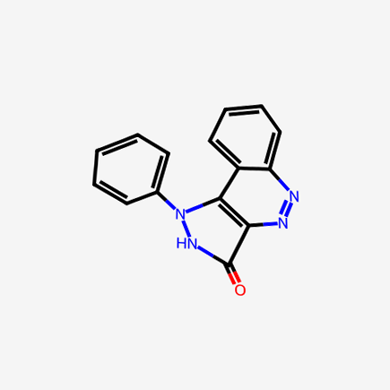 O=c1[nH]n(-c2ccccc2)c2c1nnc1ccccc12